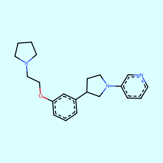 c1cc(OCCN2CCCC2)cc(C2CCN(c3cccnc3)C2)c1